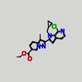 CCOC(=O)c1ccc2c(C)c(-c3cc4ccnc(Cl)c4n3CC3CC3)nn2c1